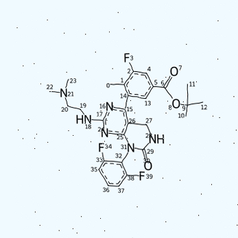 Cc1c(F)cc(C(=O)OC(C)(C)C)cc1-c1nc(NCCN(C)C)nc2c1CNC(=O)N2c1c(F)cccc1F